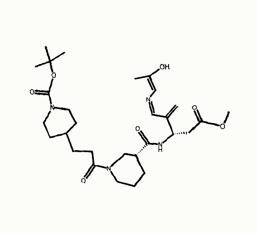 C=C(/C=N\C=C(/C)O)[C@H](CC(=O)OC)NC(=O)[C@@H]1CCCN(C(=O)CCC2CCN(C(=O)OC(C)(C)C)CC2)C1